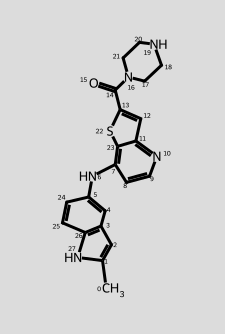 Cc1cc2cc(Nc3ccnc4cc(C(=O)N5CCNCC5)sc34)ccc2[nH]1